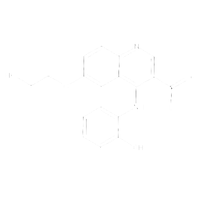 CCC(=O)c1cnc2ccc(OCCO)cc2c1Nc1ccccc1C